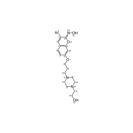 CC(=O)c1cc2ccc(OCCCN3CCN(CCO)CC3)cc2oc1=NO